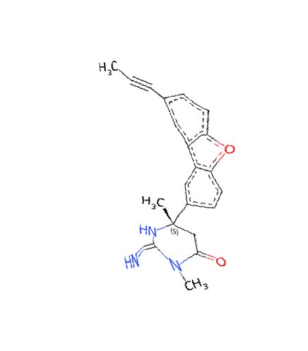 CC#Cc1ccc2oc3ccc([C@]4(C)CC(=O)N(C)C(=N)N4)cc3c2c1